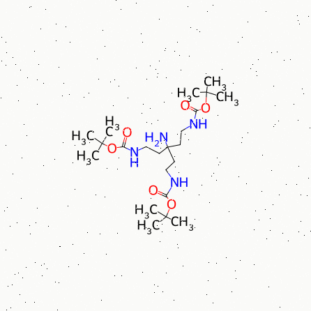 CC(C)(C)OC(=O)NCCC(N)(CCNC(=O)OC(C)(C)C)CCNC(=O)OC(C)(C)C